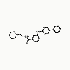 O=C(NCCN1CCCCC1)c1cccc(Nc2ncc(-c3ccccc3)cn2)c1